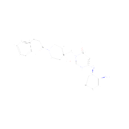 C[C@H](CC(=O)N1CCC(O)(Cn2cnc(N[C@@H]3CCCC[C@@H]3N)cc2=O)CC1)c1ccccc1